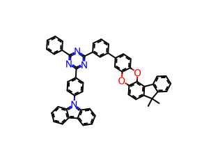 CC1(C)c2ccccc2-c2c1ccc1c2Oc2ccc(-c3cccc(-c4nc(-c5ccccc5)nc(-c5ccc(-n6c7ccccc7c7ccccc76)cc5)n4)c3)cc2O1